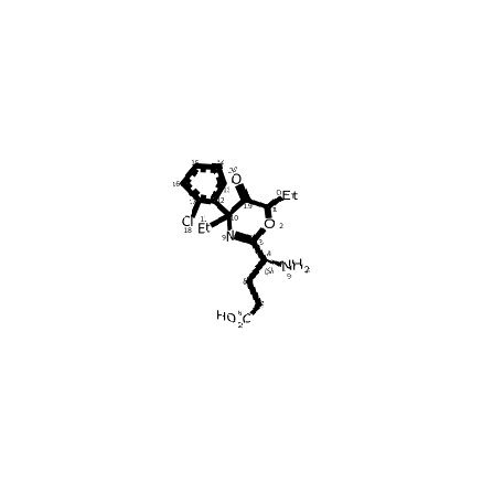 CCC1OC([C@@H](N)CCC(=O)O)=NC(CC)(c2ccccc2Cl)C1=O